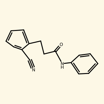 N#Cc1ccccc1CCC(=O)Nc1ccccc1